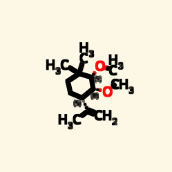 C=C(C)[C@@H]1CCC(C)(C)[C@H](OC)[C@@H]1OC